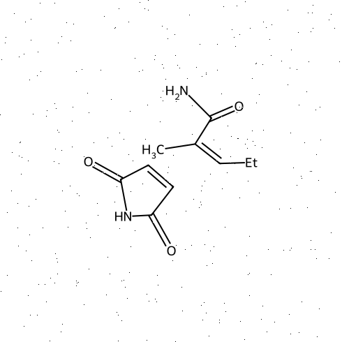 CCC=C(C)C(N)=O.O=C1C=CC(=O)N1